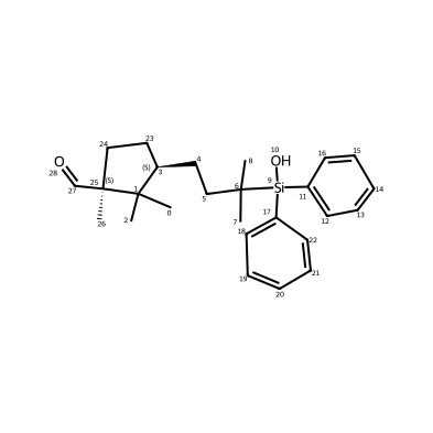 CC1(C)[C@H](CCC(C)(C)[Si](O)(c2ccccc2)c2ccccc2)CC[C@]1(C)C=O